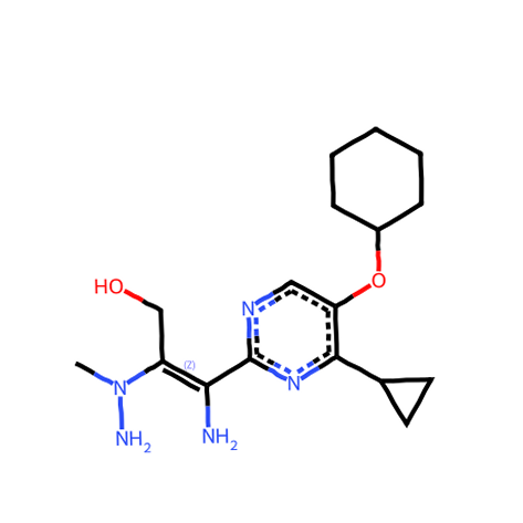 CN(N)/C(CO)=C(\N)c1ncc(OC2CCCCC2)c(C2CC2)n1